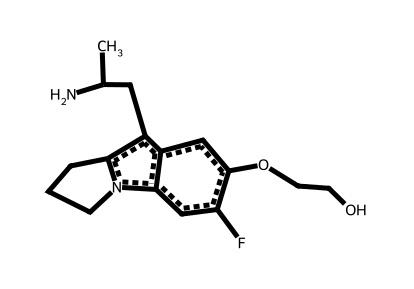 CC(N)Cc1c2n(c3cc(F)c(OCCO)cc13)CCC2